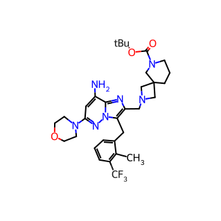 Cc1c(Cc2c(CN3CC4(CCCN(C(=O)OC(C)(C)C)C4)C3)nc3c(N)cc(N4CCOCC4)nn23)cccc1C(F)(F)F